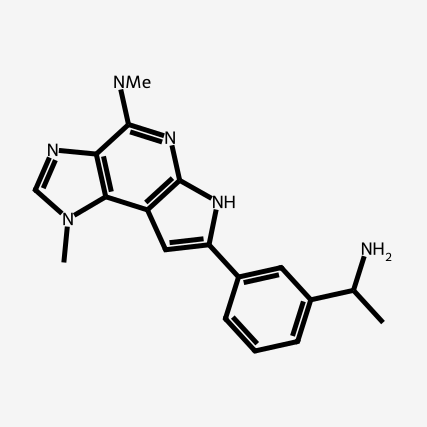 CNc1nc2[nH]c(-c3cccc(C(C)N)c3)cc2c2c1ncn2C